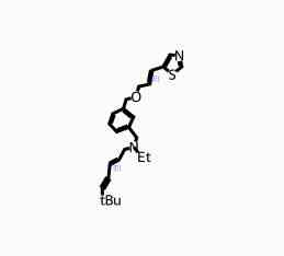 CCN(C/C=C/C#CC(C)(C)C)Cc1cccc(COC/C=C/c2cncs2)c1